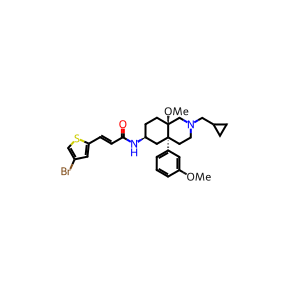 COc1cccc([C@@]23CCN(CC4CC4)C[C@@]2(OC)CC[C@H](NC(=O)/C=C/c2cc(Br)cs2)C3)c1